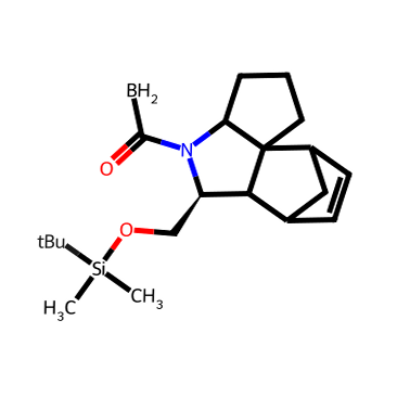 BC(=O)N1C2CCCC23C2C=CC(C2)C3[C@H]1CO[Si](C)(C)C(C)(C)C